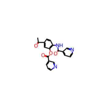 CC(=O)c1ccc(NC(=O)c2cccnc2)c(OC(=O)c2cccnc2)c1